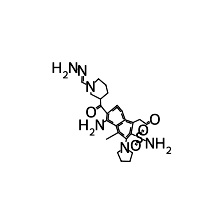 Cc1c(N2CCCC2)c(S(N)(=O)=O)c(CC=O)c2ccc(C(=O)C3CCCN(C=NN)C3)c(N)c12